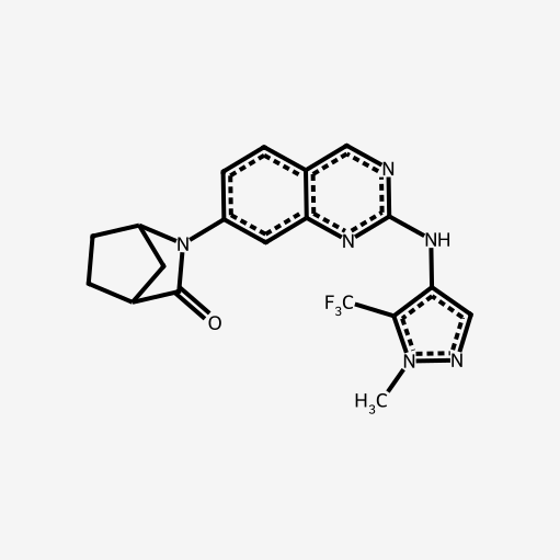 Cn1ncc(Nc2ncc3ccc(N4C(=O)C5CCC4C5)cc3n2)c1C(F)(F)F